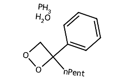 CCCCCC1(c2ccccc2)COO1.O.P